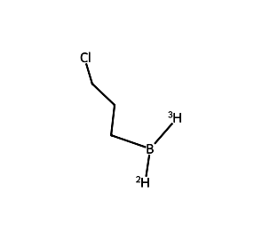 [2H]B([3H])CCCCl